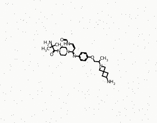 CC(COc1ccc(/N=C(\C=C/NC=O)N2CCN(C(=O)C(C)(C)N)CC2)cc1)N1CC2(CC(N)C2)C1